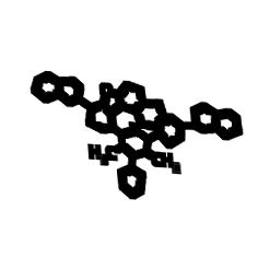 C=C1C(c2ccccc2)=C(C)C(c2ccc(-c3ccc4ccccc4c3)c3oc4ccc5ccccc5c4c23)=NC1c1ccc(-c2ccc3ccccc3c2)cc1